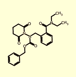 CCN(CC)C(=O)c1ccccc1CN(C(=O)OCc1ccccc1)N1C(=O)CCCC1=O